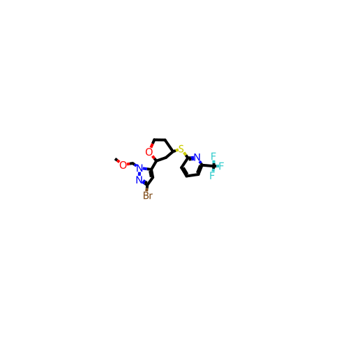 COCn1nc(Br)cc1C1CC(Sc2cccc(C(F)(F)F)n2)CCO1